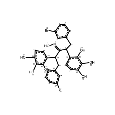 ON=C(C(Cc1cccc(Br)c1)c1ccc(O)c(O)c1O)C(Cc1cccc(Br)c1)c1ccc(O)c(O)c1O